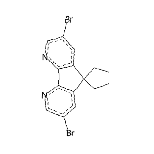 CCC1(CC)c2cc(Br)cnc2-c2ncc(Br)cc21